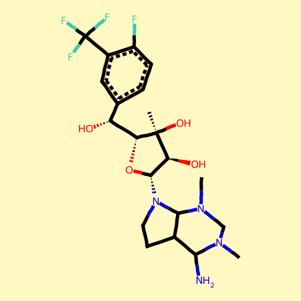 CN1CN(C)C2C(CCN2[C@@H]2O[C@H]([C@H](O)c3ccc(F)c(C(F)(F)F)c3)[C@@](C)(O)[C@H]2O)C1N